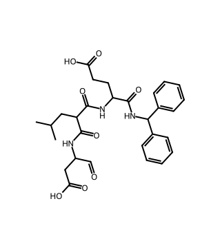 CC(C)CC(C(=O)NC(C=O)CC(=O)O)C(=O)NC(CCC(=O)O)C(=O)NC(c1ccccc1)c1ccccc1